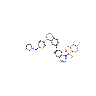 COc1ncc(-c2ccc3nccc(-c4ccc(CN5CCCC5)cc4)c3c2)cc1NS(=O)(=O)c1ccc(F)cc1F